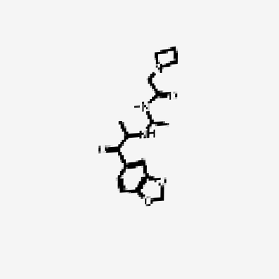 CC(NC(=O)CN1CCC1)NC(C)C(=O)c1ccc2c(c1)OCO2